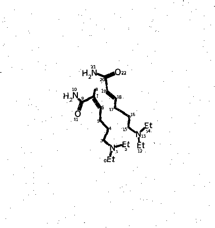 CCN(CC)CCCC=C(C)C(N)=O.CCN(CC)CCCC=CC(N)=O